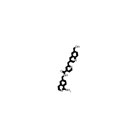 Nc1nccc2cc(CNC(=O)c3ccnc(Cc4cnc5ccc(CO)cc5c4)c3)ccc12